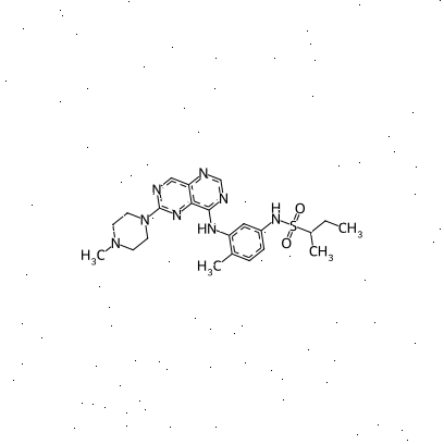 CCC(C)S(=O)(=O)Nc1ccc(C)c(Nc2ncnc3cnc(N4CCN(C)CC4)nc23)c1